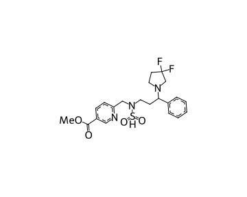 COC(=O)c1ccc(CN(CCC(c2ccccc2)N2CCC(F)(F)C2)[SH](=O)=O)nc1